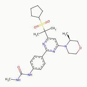 CNC(=O)Nc1ccc(-c2nc(N3CCOC[C@@H]3C)cc(C(C)(C)S(=O)(=O)C3CCCC3)n2)cc1